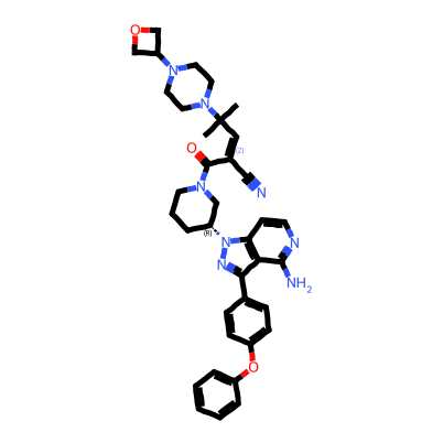 CC(C)(/C=C(/C#N)C(=O)N1CCC[C@@H](n2nc(-c3ccc(Oc4ccccc4)cc3)c3c(N)nccc32)C1)N1CCN(C2COC2)CC1